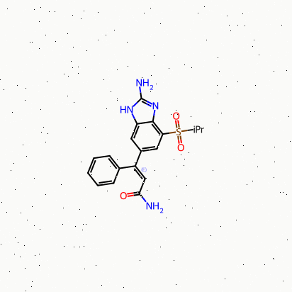 CC(C)S(=O)(=O)c1cc(/C(=C/C(N)=O)c2ccccc2)cc2[nH]c(N)nc12